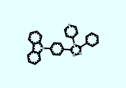 c1ccc(-c2nnc(-c3ccc(-n4c5ccccc5c5ccccc54)cc3)n2-c2ccncc2)cc1